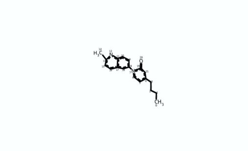 CCCCc1ccn(-c2ccc3nc(C)ccc3c2)c(=O)c1